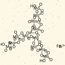 O=P([O][Mo](=[O])(=[O])[O][Mo](=[O])(=[O])[O][Mo](=[O])(=[O])[O][Mo](=[O])(=[O])[OH])([O][Mo](=[O])(=[O])[O][Mo](=[O])(=[O])[O][Mo](=[O])(=[O])[O][Mo](=[O])(=[O])[OH])[O][Mo](=[O])(=[O])[O][Mo](=[O])(=[O])[O][Mo](=[O])(=[O])[O][Mo](=[O])(=[O])[OH].[Bi+3].[Fe]